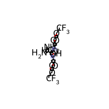 Nc1cc(N)cc(C(CC(=O)/C=C/c2ccc(C(=O)Oc3ccc(OCCCC(F)(F)F)cc3)cc2)C(O)(O)C(=O)/C=C/c2ccc(C(=O)Oc3ccc(OCCCC(F)(F)F)cc3)cc2)c1